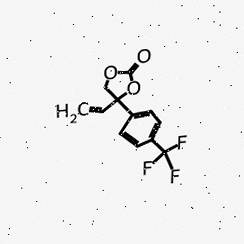 C=CC1(c2ccc(C(F)(F)F)cc2)COC(=O)O1